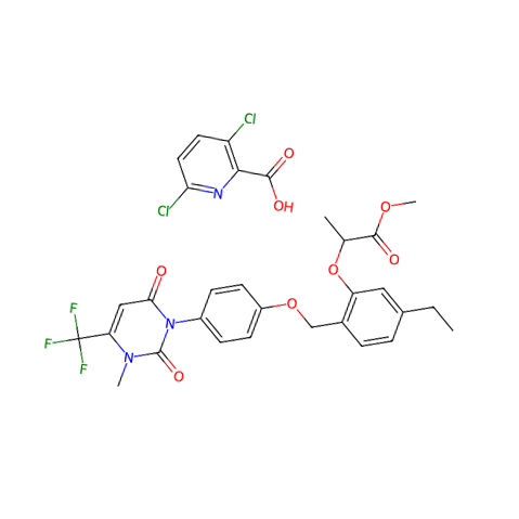 CCc1ccc(COc2ccc(-n3c(=O)cc(C(F)(F)F)n(C)c3=O)cc2)c(OC(C)C(=O)OC)c1.O=C(O)c1nc(Cl)ccc1Cl